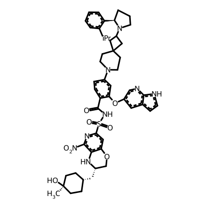 CC(C)c1ccccc1[C@H]1CCCN1C1CC2(CCN(c3ccc(C(=O)NS(=O)(=O)c4cc5c(c([N+](=O)[O-])n4)N[C@@H](C[C@H]4CC[C@](C)(O)CC4)CO5)c(Oc4cnc5[nH]ccc5c4)c3)CC2)C1